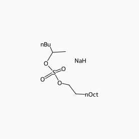 CCCCCCCCCCOS(=O)(=O)OC(C)CCCC.[NaH]